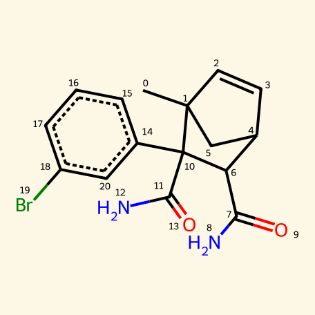 CC12C=CC(C1)C(C(N)=O)C2(C(N)=O)c1cccc(Br)c1